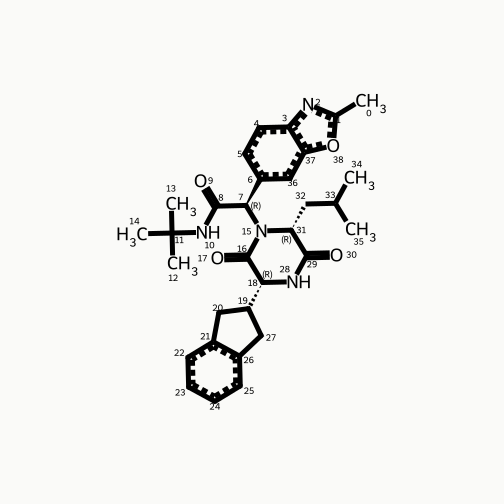 Cc1nc2ccc([C@H](C(=O)NC(C)(C)C)N3C(=O)[C@@H](C4Cc5ccccc5C4)NC(=O)[C@H]3CC(C)C)cc2o1